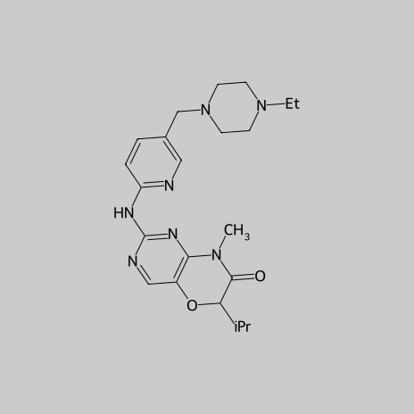 CCN1CCN(Cc2ccc(Nc3ncc4c(n3)N(C)C(=O)C(C(C)C)O4)nc2)CC1